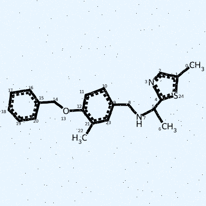 Cc1cnc(C(C)NCc2ccc(OCc3ccccc3)c(C)c2)s1